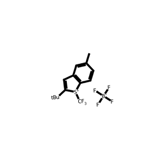 Cc1ccc2c(c1)cc(C(C)(C)C)[s+]2C(F)(F)F.F[B-](F)(F)F